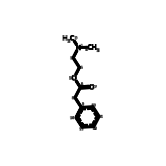 CN(C)CCOC(=O)Cc1ccccc1